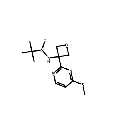 CSc1ccnc(C2(N[S+]([O-])C(C)(C)C)COC2)n1